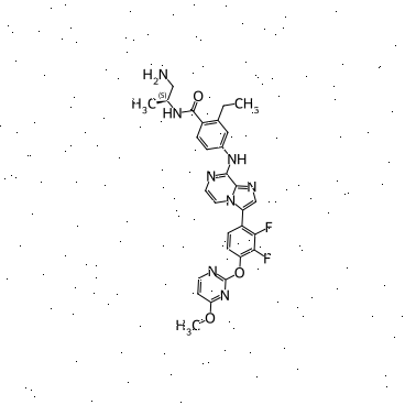 CCc1cc(Nc2nccn3c(-c4ccc(Oc5nccc(OC)n5)c(F)c4F)cnc23)ccc1C(=O)N[C@@H](C)CN